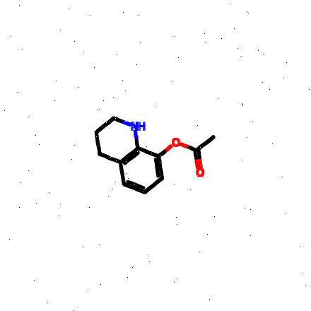 CC(=O)Oc1cccc2c1NCCC2